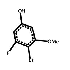 CCc1c(F)cc(O)cc1OC